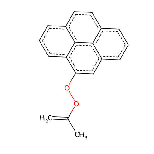 C=C(C)OOc1cc2cccc3ccc4cccc1c4c32